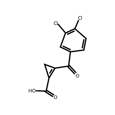 O=C(O)C1=C(C(=O)c2ccc(Cl)c(Cl)c2)C1